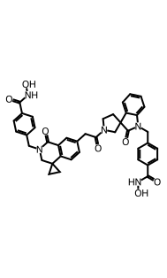 O=C(NO)c1ccc(CN2CC3(CC3)c3ccc(CC(=O)N4CCC5(C4)C(=O)N(Cc4ccc(C(=O)NO)cc4)c4ccccc45)cc3C2=O)cc1